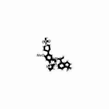 COc1cc2c(cc1C1CCN(S(C)(=O)=O)CC1)c(NC(C)c1cccc3c1CCC3(F)F)nc1ccnn12